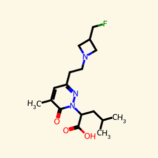 Cc1cc(CCN2CC(CF)C2)nn(C(CC(C)C)C(=O)O)c1=O